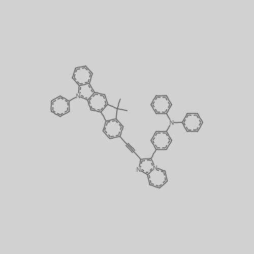 CC1(C)c2cc(C#Cc3nc4ccccn4c3-c3ccc(N(c4ccccc4)c4ccccc4)cc3)ccc2-c2cc3c(cc21)c1ccccc1n3-c1ccccc1